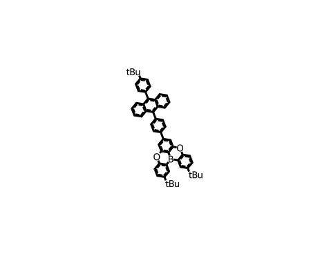 CC(C)(C)c1ccc(-c2c3ccccc3c(-c3ccc(-c4cc5c6c(c4)Oc4ccc(C(C)(C)C)cc4B6c4cc(C(C)(C)C)ccc4O5)cc3)c3ccccc23)cc1